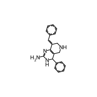 NC1=NC2=C(CNCC2=Cc2ccccc2)C(c2ccccc2)N1